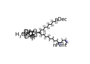 CCCCC/C=C\C/C=C\CCCCCCCCC(CCCCCCCCCCCCCCCCCC)C1OC2C[C@@H]([N+](C)(C)C)C[C@@H]2O1